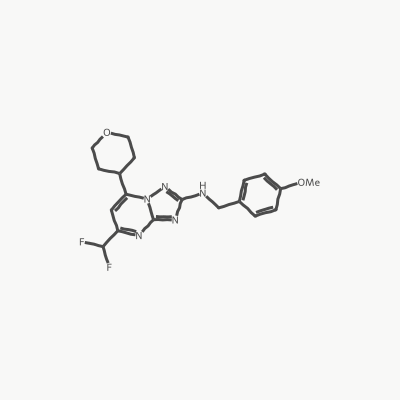 COc1ccc(CNc2nc3nc(C(F)F)cc(C4CCOCC4)n3n2)cc1